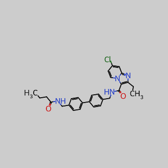 CCCC(=O)NCc1ccc(-c2ccc(CNC(=O)c3c(CC)nc4cc(Cl)ccn34)cc2)cc1